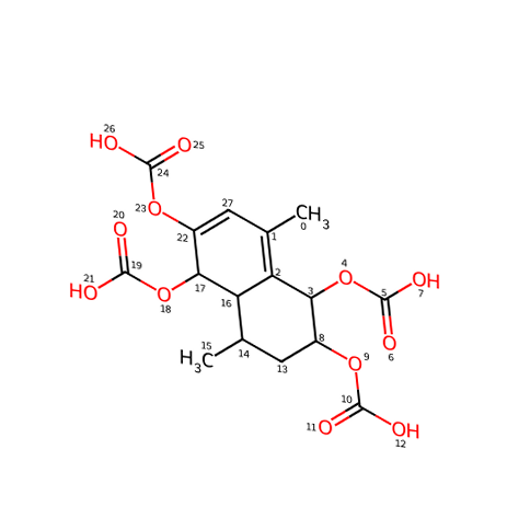 CC1=C2C(OC(=O)O)C(OC(=O)O)CC(C)C2C(OC(=O)O)C(OC(=O)O)=C1